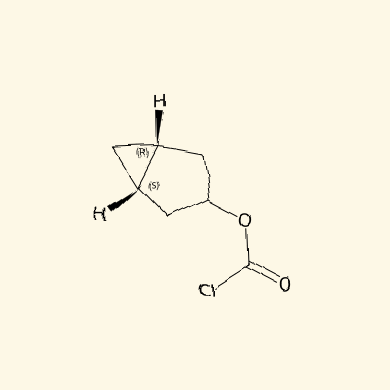 O=C(Cl)OC1C[C@@H]2C[C@@H]2C1